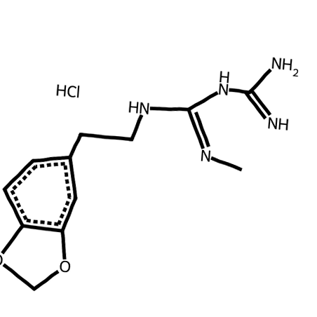 CN=C(NCCc1ccc2c(c1)OCO2)NC(=N)N.Cl